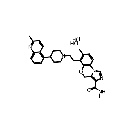 CNC(=O)c1ncn2c1COc1c-2ccc(C)c1CCN1CCC(c2cccc3nc(C)ccc23)CC1.Cl.Cl